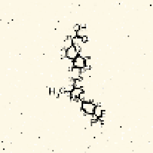 Cc1nc(-c2ccc(C(F)(F)F)cc2)sc1CSc1ccc2c(c1)CCC(CC(=O)O)O2